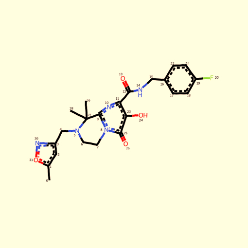 Cc1cc(CN2CCn3c(nc(C(=O)NCc4ccc(F)cc4)c(O)c3=O)C2(C)C)no1